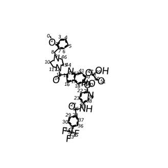 COc1ccccc1CN1CCN(C(=O)c2cc3cc(Oc4ccc(NC(=O)c5ccc(C(F)(F)F)cc5)cn4)ccc3n2C)CC1.O=C(O)C(=O)O